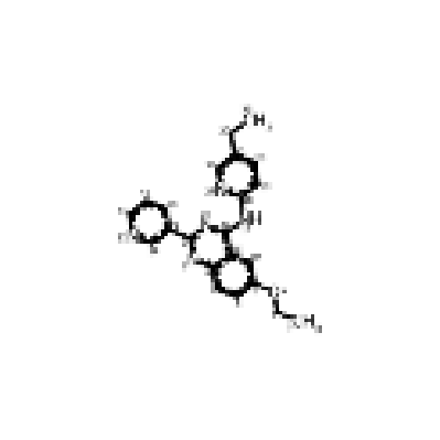 CCOc1ccc2nc(-c3cccnc3)nc(Nc3ccc(CC)cn3)c2c1